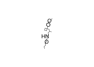 CCCCOCCNCCC(C)CC1(c2ccc(OCC)cc2)CCC1